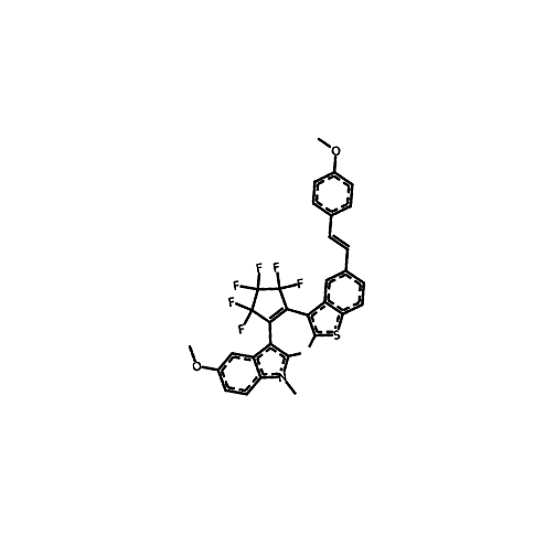 COc1ccc(C=Cc2ccc3sc(C)c(C4=C(c5c(C)n(C)c6ccc(OC)cc56)C(F)(F)C(F)(F)C4(F)F)c3c2)cc1